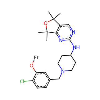 CCOc1cc(CN2CCC(Nc3ncc4c(n3)C(C)(C)OC4(C)C)CC2)ccc1Cl